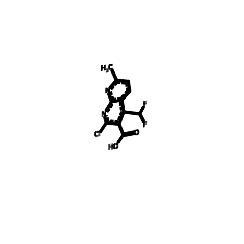 Cc1ccc2c(C(F)F)c(C(=O)O)c(Cl)nc2n1